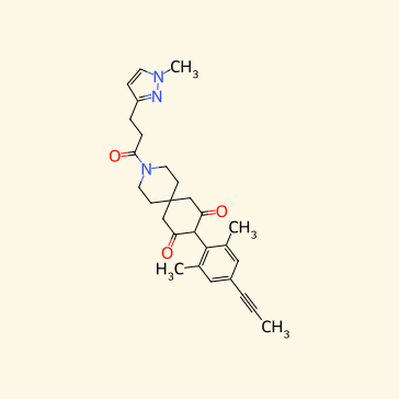 CC#Cc1cc(C)c(C2C(=O)CC3(CCN(C(=O)CCc4ccn(C)n4)CC3)CC2=O)c(C)c1